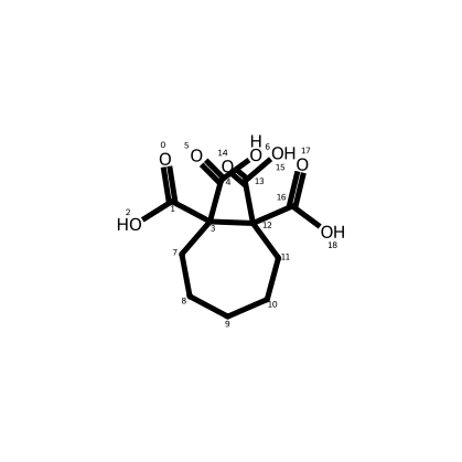 O=C(O)C1(C(=O)O)CCCCCC1(C(=O)O)C(=O)O